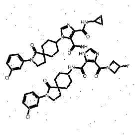 NC(=O)c1c(C(=O)NC2CC2)ncn1C1CCC2(CC1)CCN(c1cccc(Cl)c1)C2=O.O=C(NC1CCC2(CC1)CCN(c1cccc(Cl)c1)C2=O)c1[nH]cnc1C(=O)N1CC(F)C1